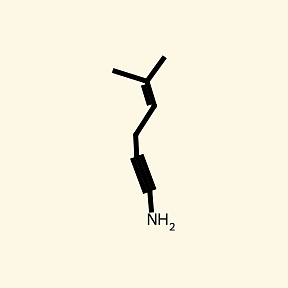 CC(C)=CCC#CN